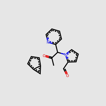 CC(=O)C(c1ccccn1)n1cccc1C=O.c1cc2cc-2c1